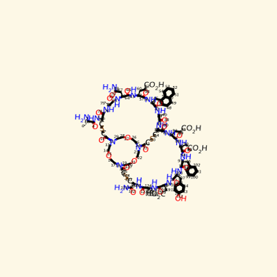 C[C@H](N)C(=O)N[C@H]1CSCC(=O)N2CCOCCN3CCOCCN(CCOCC2)C(=O)CSC[C@@H](NC(=O)[C@@H](C)NC(=O)[C@H](Cc2cccc4ccccc24)NC(=O)[C@H](CCC(=O)O)NC(=O)[C@H](CC(N)=O)NC(=O)[C@@H](C)NC1=O)C(=O)N[C@@H](CCC(=O)O)C(=O)N[C@@H](CC(=O)O)C(=O)N[C@@H](Cc1ccccc1)C(=O)N[C@@H](Cc1ccc(O)cc1)C(=O)N[C@@H](CC(=O)O)C(=O)N[C@@H](C(C)(C)C)C(=O)N[C@H](C(N)=O)CSCC3=O